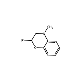 CN1CC(Br)Oc2ccccc21